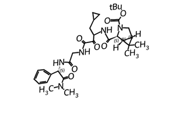 CN(C)C(=O)[C@@H](NC(=O)CNC(=O)C(=O)C(CC1CC1)NC(=O)[C@@H]1[C@@H]2[C@H](CN1C(=O)OC(C)(C)C)C2(C)C)c1ccccc1